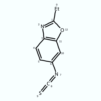 CCc1nc2ccc(N=C=S)cc2o1